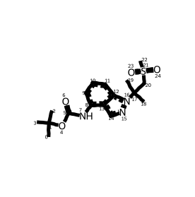 CC(C)(C)OC(=O)Nc1cccc2c1cnn2C(C)(C)CS(C)(=O)=O